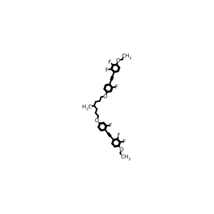 CCOc1ccc(C#Cc2ccc(OCCCC(C)CCCOc3ccc(C#Cc4ccc(OCC)c(F)c4F)c(F)c3)cc2F)c(F)c1F